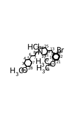 CO[C@H]1CC[C@@H](CCCN2CCC(Cc3cc(OC(C)C)ccc3Br)CC2)CC1.Cl